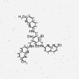 CCc1ccc2ccc(NCc3c(CC)c(CNc4ccc5ccc(C)nc5n4)c(CC)c(CNc4ccc5ccc(C)nc5n4)c3CC)nc2n1